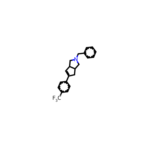 FC(F)(F)c1ccc(C2=CC3CN(Cc4ccccc4)CC3C2)cc1